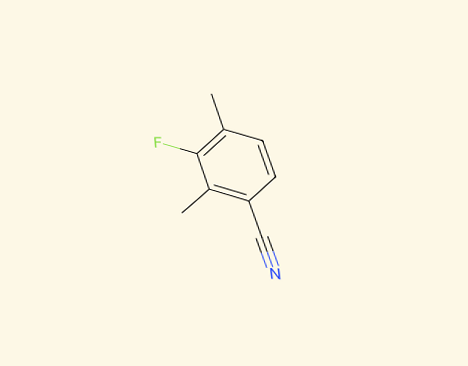 Cc1ccc(C#N)c(C)c1F